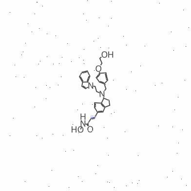 O=C(/C=C/c1ccc2c(c1)CCC2N(CCn1ccc2ccccc21)Cc1ccc(OCCO)cc1)NO